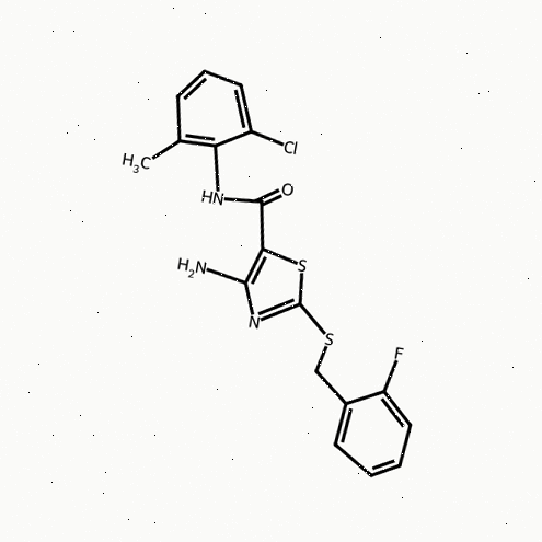 Cc1cccc(Cl)c1NC(=O)c1sc(SCc2ccccc2F)nc1N